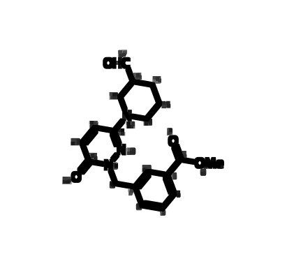 COC(=O)c1cccc(Cn2nc(N3CCCC(C=O)C3)ccc2=O)c1